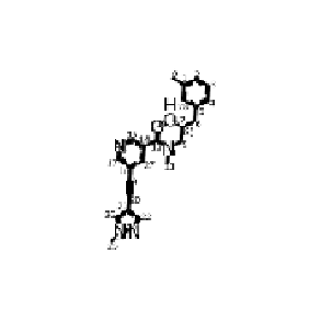 Cc1cccc(C[C@H](O)CN(C)C(=O)c2cncc(C#Cc3cnn(C)c3)c2)c1